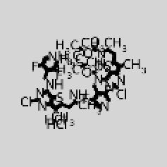 Cc1c(CC(C)N)sc2c(NCc3c(F)cncc3F)nc(Cl)nc12.Cc1c(CC(C)NC(=O)OC(C)(C)C)sc2c(N(Cc3c(F)cncc3F)C(=O)OC(C)(C)C)nc(Cl)nc12.Cl.Cl